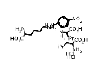 CC(C)C(N)C(=O)O.CC(C)CC(N)C(=O)O.Cl.Cl.NCCCCC(N)C(=O)O.Nc1ccc([N+](=O)[O-])cc1